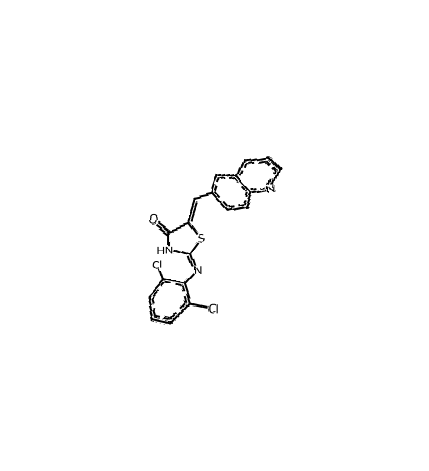 O=C1N/C(=N\c2c(Cl)cccc2Cl)S/C1=C\c1ccc2ncccc2c1